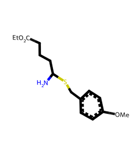 CCOC(=O)CCCC(N)SCc1ccc(OC)cc1